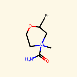 CCC1C[N+](C)(C(N)=O)CCO1